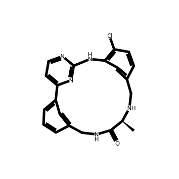 C[C@@H]1NCc2ccc(Cl)c(c2)Nc2nccc(n2)-c2cccc(c2)CNC1=O